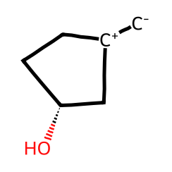 [CH2-][C+]1CC[C@@H](O)C1